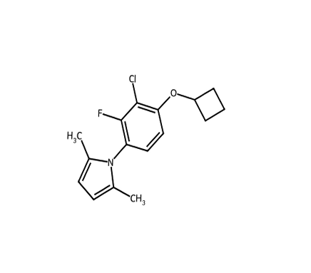 Cc1ccc(C)n1-c1ccc(OC2CCC2)c(Cl)c1F